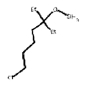 CCC(CC)(CCCCCl)O[SiH3]